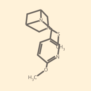 COc1ccc(CN2C3CC2CN(SC)C3)cn1